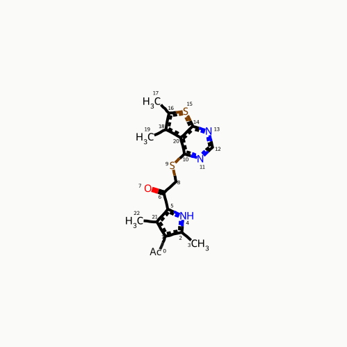 CC(=O)c1c(C)[nH]c(C(=O)CSc2ncnc3sc(C)c(C)c23)c1C